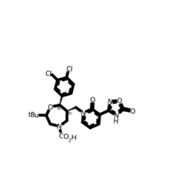 CC(C)(C)C1CN(C(=O)O)C[C@H](Cn2cccc(-c3noc(=O)[nH]3)c2=O)[C@H](c2ccc(Cl)c(Cl)c2)O1